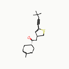 CC1=CC[C@H](C(=O)CC2C=C(C#CC(C)(C)C)SC2)CC1